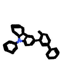 Cc1ccc(-c2ccccc2)cc1-c1ccc2c(c1)c1ccccc1n2-c1ccccc1